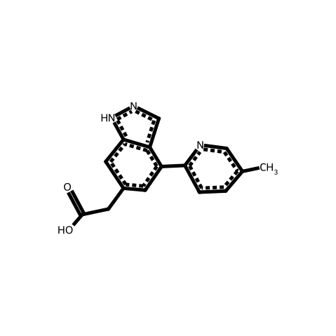 Cc1ccc(-c2cc(CC(=O)O)cc3[nH]ncc23)nc1